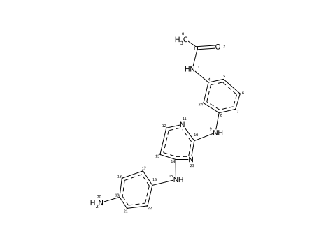 CC(=O)Nc1cccc(Nc2nccc(Nc3ccc(N)cc3)n2)c1